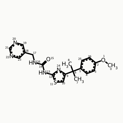 COc1ccc(C(C)(C)c2csc(NC(=O)NCc3cncnc3)n2)cc1